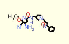 CCOc1nc(C(=O)NCC2CCN(Cc3cc(-c4ccccc4)no3)CC2)cc(N)c1C#N